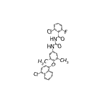 Cc1cc(NC(=O)NC(=O)c2c(F)cccc2Cl)cc(C)c1Oc1ccc(Cl)c2ccccc12